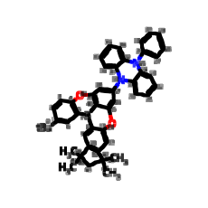 CC(C)(C)c1ccc2c(c1)B1c3cc4c(cc3Oc3cc(N5c6ccccc6N(c6ccccc6)c6ccccc65)cc(c31)O2)C(C)(C)CC4(C)C